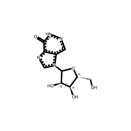 O=c1[nH]ncc2c1ncn2C1O[C@H](CO)[C@@H](O)[C@H]1O